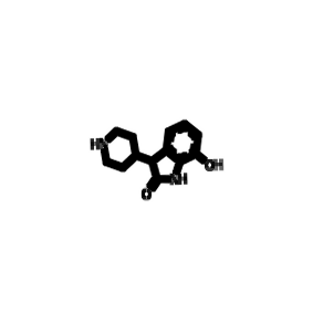 O=C1Nc2c(O)cccc2C1C1CCNCC1